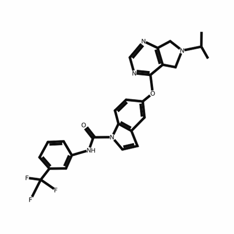 CC(C)N1Cc2ncnc(Oc3ccc4c(ccn4C(=O)Nc4cccc(C(F)(F)F)c4)c3)c2C1